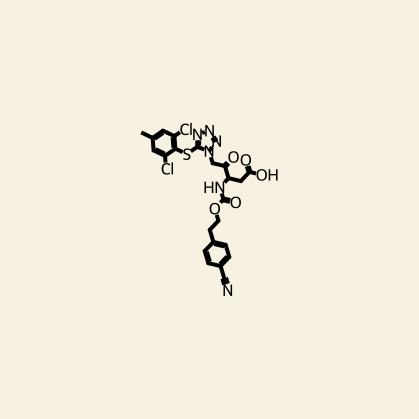 Cc1cc(Cl)c(Sc2nnnn2CC(=O)C(CC(=O)O)NC(=O)OCCc2ccc(C#N)cc2)c(Cl)c1